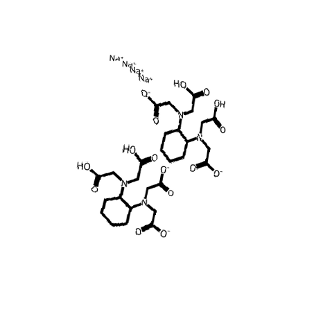 O=C([O-])CN(CC(=O)O)C1CCCCC1N(CC(=O)[O-])CC(=O)O.O=C([O-])CN(CC(=O)[O-])C1CCCCC1N(CC(=O)O)CC(=O)O.[Na+].[Na+].[Na+].[Na+]